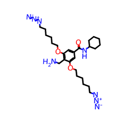 [N-]=[N+]=NCCCCCCOc1cc(C(=O)NC2CCCCC2)cc(OCCCCCCN=[N+]=[N-])c1CN